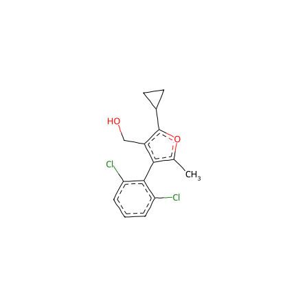 Cc1oc(C2CC2)c(CO)c1-c1c(Cl)cccc1Cl